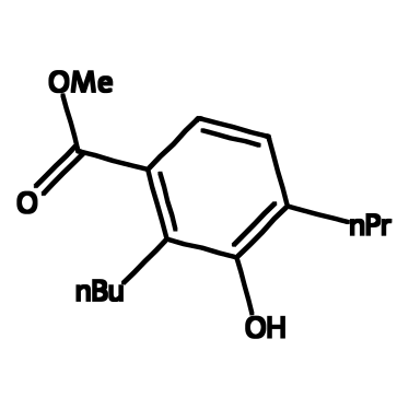 CCCCc1c(C(=O)OC)ccc(CCC)c1O